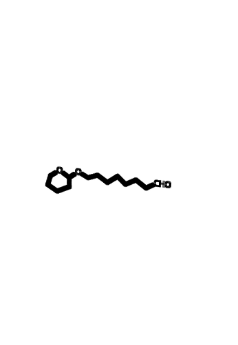 O=CCCCCCCCOC1CCCCO1